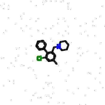 Cc1cc(Cl)c(-c2ccccc2)c(CN2CCCCC2)c1